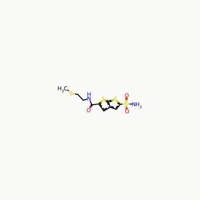 CSCCNC(=O)c1cc2cc(S(N)(=O)=O)sc2s1